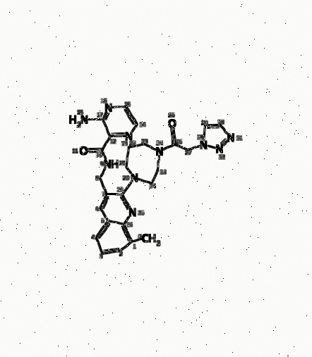 Cc1cccc2cc(CNC(=O)c3nccnc3N)c(N3CCCN(C(=O)Cn4ccnn4)CC3)nc12